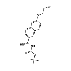 CC(C)(C)OC(=O)NC(=N)c1ccc2cc(OCCBr)ccc2c1